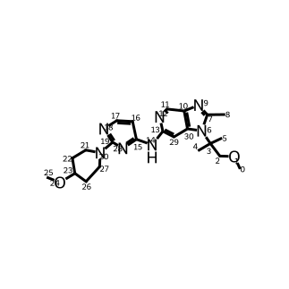 COCC(C)(C)n1c(C)nc2cnc(Nc3ccnc(N4CCC(OC)CC4)n3)cc21